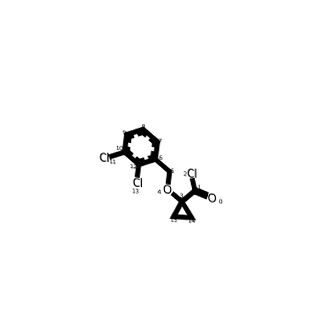 O=C(Cl)C1(OCc2cccc(Cl)c2Cl)CC1